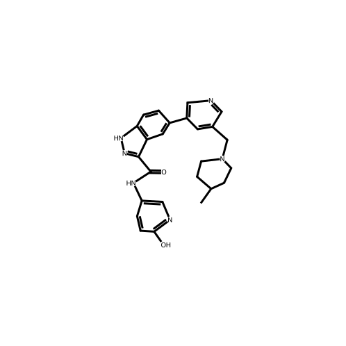 CC1CCN(Cc2cncc(-c3ccc4[nH]nc(C(=O)Nc5ccc(O)nc5)c4c3)c2)CC1